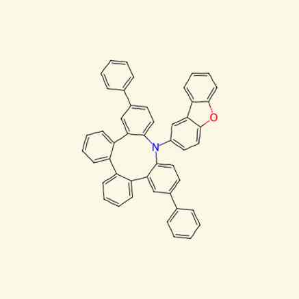 c1ccc(-c2ccc3c(c2)c2ccccc2c2ccccc2c2cc(-c4ccccc4)ccc2n3-c2ccc3oc4ccccc4c3c2)cc1